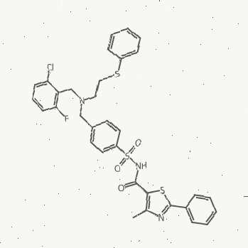 Cc1nc(-c2ccccc2)sc1C(=O)NS(=O)(=O)c1ccc(CN(CCSc2ccccc2)Cc2c(F)cccc2Cl)cc1